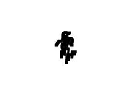 CC[Si](OC)(OC)OCC(F)(F)F